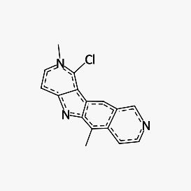 Cc1c2ccncc2cc2c3c(Cl)n(C)ccc-3nc12